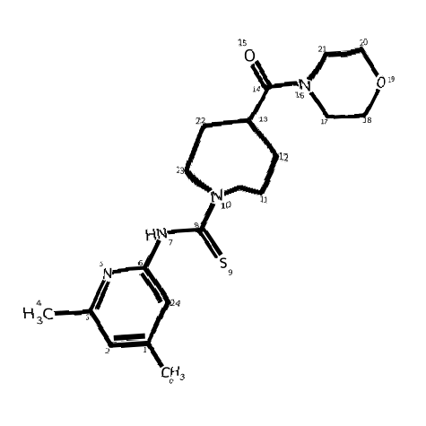 Cc1cc(C)nc(NC(=S)N2CCC(C(=O)N3CCOCC3)CC2)c1